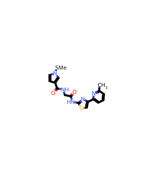 CSn1ccc(C(=O)NCC(=O)Nc2nc(-c3cccc(C)n3)cs2)c1